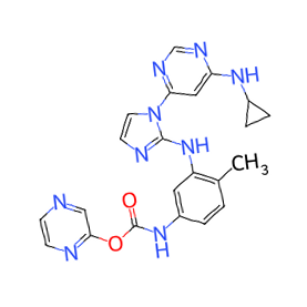 Cc1ccc(NC(=O)Oc2cnccn2)cc1Nc1nccn1-c1cc(NC2CC2)ncn1